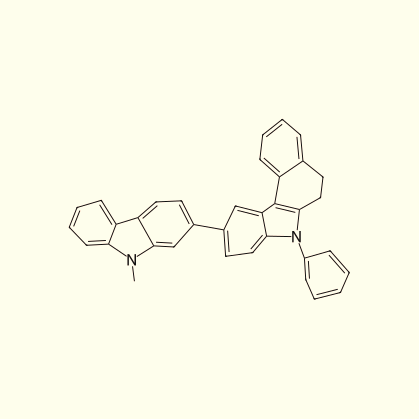 Cn1c2ccccc2c2ccc(-c3ccc4c(c3)c3c(n4-c4ccccc4)CCc4ccccc4-3)cc21